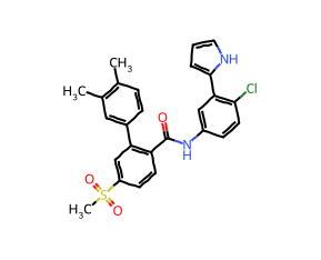 Cc1ccc(-c2cc(S(C)(=O)=O)ccc2C(=O)Nc2ccc(Cl)c(-c3ccc[nH]3)c2)cc1C